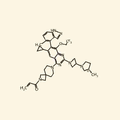 C=CC(=O)N1CC2(CCN(c3nc(N4CC(N5CC[C@@H](C)C5)C4)nc4c(OCC(F)(F)F)c(-c5c(C)ccc6[nH]ncc56)c(C5CC5)cc34)CC2)C1